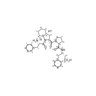 N[C@@H](Cc1ccccc1)C(=O)N1[C@H](C(=O)N2CCC[C@H]2C(=O)N[C@H](CC(=O)O)Cc2ccccc2)C[C@@H]2CCCC[C@@H]21